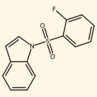 O=S(=O)(c1ccccc1F)n1ccc2ccccc21